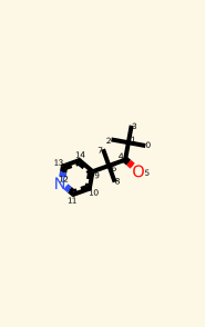 CC(C)(C)C(=O)C(C)(C)c1ccncc1